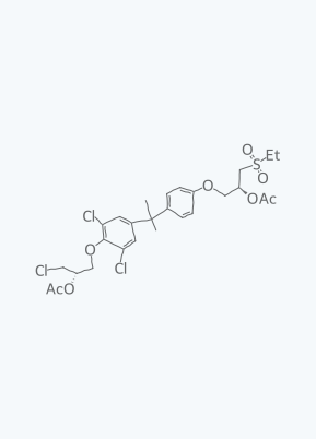 CCS(=O)(=O)C[C@H](COc1ccc(C(C)(C)c2cc(Cl)c(OC[C@@H](CCl)OC(C)=O)c(Cl)c2)cc1)OC(C)=O